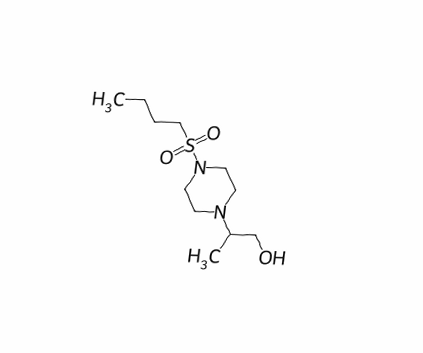 CCCCS(=O)(=O)N1CCN(C(C)CO)CC1